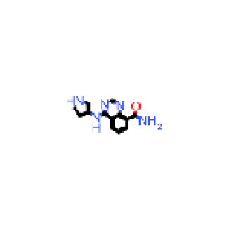 NC(=O)c1cccc2c(NC3CCNC3)ncnc12